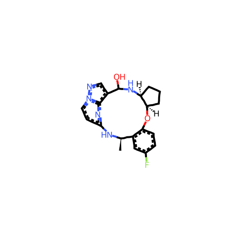 C[C@H]1Nc2ccn3ncc(c3n2)C(O)N[C@H]2CCC[C@H]2Oc2ccc(F)cc21